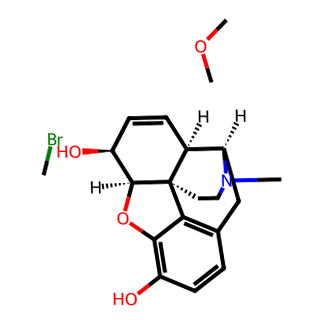 CBr.CN1CC[C@]23c4c5ccc(O)c4O[C@H]2[C@@H](O)C=C[C@H]3[C@H]1C5.COC